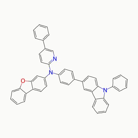 c1ccc(-c2ccc(N(c3ccc(-c4ccc5c(c4)c4ccccc4n5-c4ccccc4)cc3)c3ccc4c(c3)oc3ccccc34)nc2)cc1